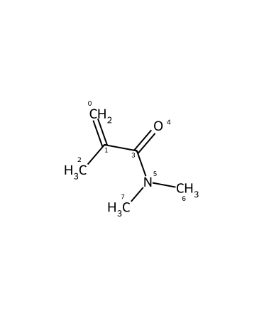 C=C(C)C(=O)N(C)C